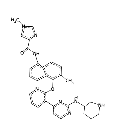 Cc1ccc2c(NC(=O)c3cn(C)cn3)cccc2c1Oc1ncccc1-c1ccnc(NC2CCCNC2)n1